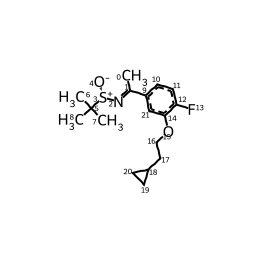 CC(=N[S@@+]([O-])C(C)(C)C)c1ccc(F)c(OCCC2CC2)c1